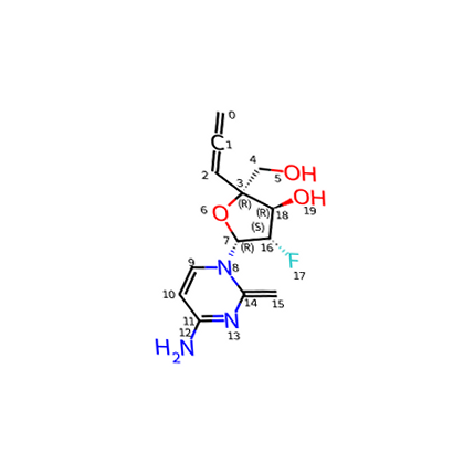 C=C=C[C@]1(CO)O[C@@H](N2C=CC(N)=NC2=C)[C@@H](F)[C@@H]1O